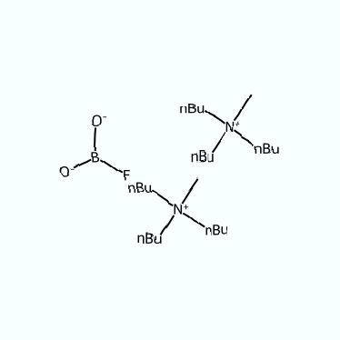 CCCC[N+](C)(CCCC)CCCC.CCCC[N+](C)(CCCC)CCCC.[O-]B([O-])F